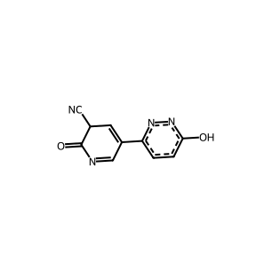 N#CC1C=C(c2ccc(O)nn2)C=NC1=O